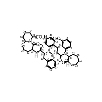 COc1cccc(N(C(=O)[C@H](CC[C@H](Cc2ccccc2)C(=O)NC2CCSC3CCCC(C(=O)O)N3C2=O)Cc2ccccc2)C2CCCCNC2=O)c1